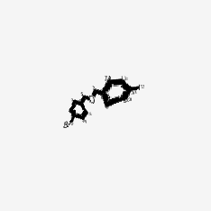 Brc1ccc(COCc2ccc(I)cc2)cc1